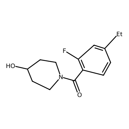 CCc1ccc(C(=O)N2CCC(O)CC2)c(F)c1